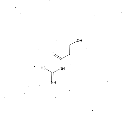 N=C(S)NC(=O)CCO